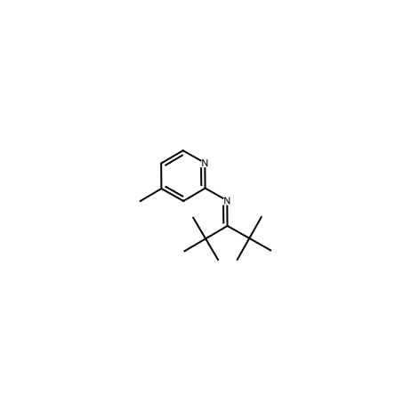 Cc1ccnc(N=C(C(C)(C)C)C(C)(C)C)c1